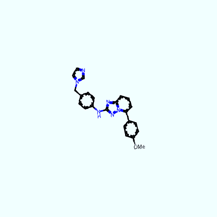 COc1ccc(-c2cccc3nc(Nc4ccc(Cn5ccnc5)cc4)nn23)cc1